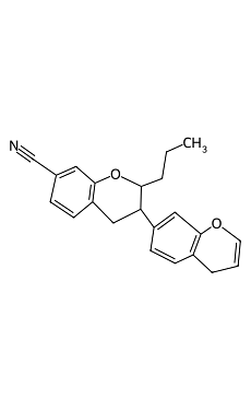 CCCC1Oc2cc(C#N)ccc2CC1c1ccc2c(c1)OC=CC2